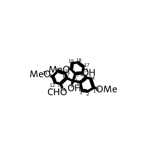 COc1ccc(C(O)(c2ccc(OC)cc2C=O)c2ccccc2OC)c(O)c1